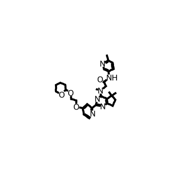 Cc1ccc(NC(=O)CN(C)c2nc(-c3cc(OCCOC4CCCCO4)ccn3)nc3c2C(C)(C)CC3)cn1